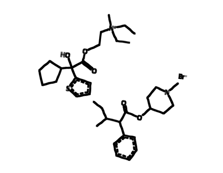 CCC(C)C(C(=O)OC1CCN(C)CC1)c1ccccc1.CC[N+](C)(CC)CCOC(=O)C(O)(c1cccs1)C1CCCC1.[Br-]